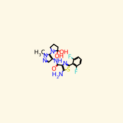 Cn1ncc(NC(=O)c2nc(-c3c(F)cccc3F)sc2N)c1N1CCCC1(O)O